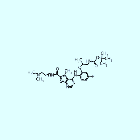 Cc1c(C(=O)NCCCN(C)C)sc2ncnc(Nc3ccc(F)cc3OC(C)CNC(=O)OC(C)(C)C)c12